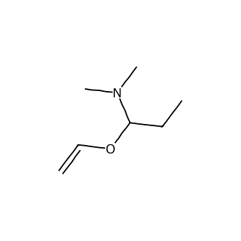 C=COC(CC)N(C)C